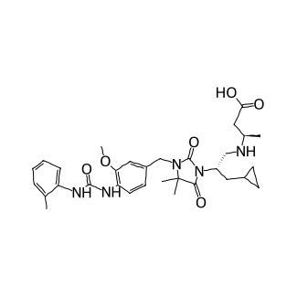 COc1cc(CN2C(=O)N([C@H](CN[C@H](C)CC(=O)O)CC3CC3)C(=O)C2(C)C)ccc1NC(=O)Nc1ccccc1C